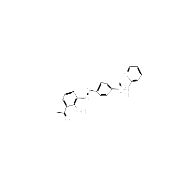 O=C(O)c1cccc(/N=N/c2ccc(S(=O)(=O)Nc3ccccn3)cc2)c1O